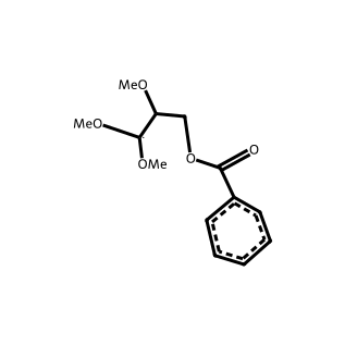 CO[C](OC)C(COC(=O)c1ccccc1)OC